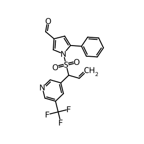 C=CC(c1cncc(C(F)(F)F)c1)S(=O)(=O)n1cc(C=O)cc1-c1ccccc1